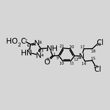 O=C(Nc1n[nH]c(C(=O)O)n1)c1ccc(N(CCCl)CCCl)cc1